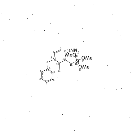 C=CN(Cc1ccccc1)C(C)C(CN)C[Si](OC)(OC)OC